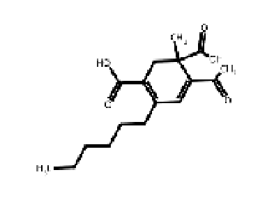 CCCCCCC1=C(C(=O)O)CC(C)(C(=O)O)C(C(C)=O)=C1